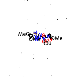 COC(=O)[C@@H]1CCCN1CC1COC(c2nc(Br)c3c(NCc4ccc(OC)cc4OC)nccn23)CN1C(=O)OC(C)(C)C